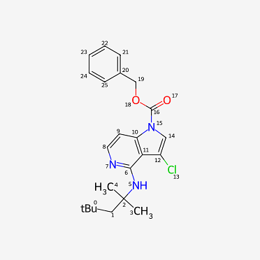 CC(C)(C)CC(C)(C)Nc1nccc2c1c(Cl)cn2C(=O)OCc1ccccc1